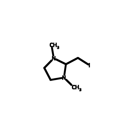 CN1CCN(C)C1CI